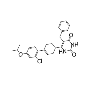 CC(C)Oc1ccc(C2=CCC(c3[nH]c(=O)[nH]c(=O)c3Cc3ccccc3)CC2)c(Cl)c1